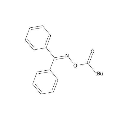 CC(C)(C)C(=O)ON=C(c1ccccc1)c1ccccc1